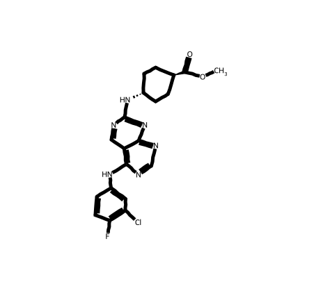 COC(=O)[C@H]1CC[C@H](Nc2ncc3c(Nc4ccc(F)c(Cl)c4)ncnc3n2)CC1